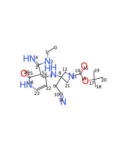 CCNC(=N)c1c(NC2(CC#N)CN(C(=O)OC(C)(C)C)C2)cc[nH]c1=O